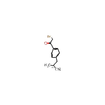 C[C@H](C#N)Cc1ccc(C(=O)CBr)cc1